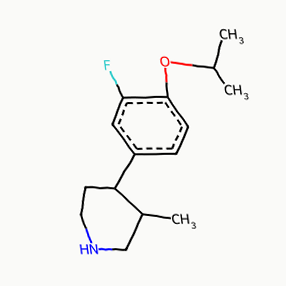 CC(C)Oc1ccc(C2CCNCC2C)cc1F